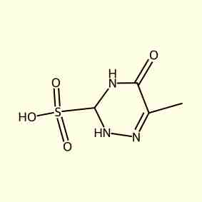 CC1=NNC(S(=O)(=O)O)NC1=O